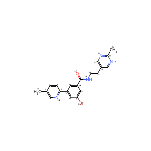 Cc1ccc(-c2cc(Br)cc(C(=O)NCCc3cnc(C)nc3)c2)nc1